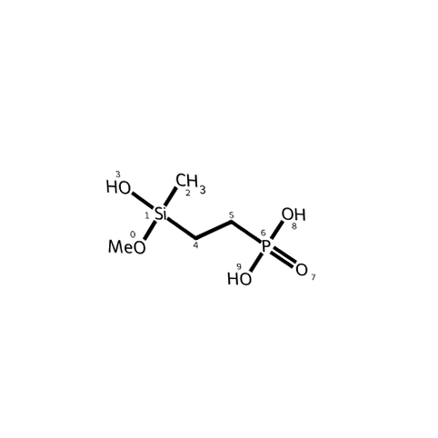 CO[Si](C)(O)CCP(=O)(O)O